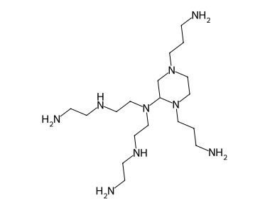 NCCCN1CCN(CCCN)C(N(CCNCCN)CCNCCN)C1